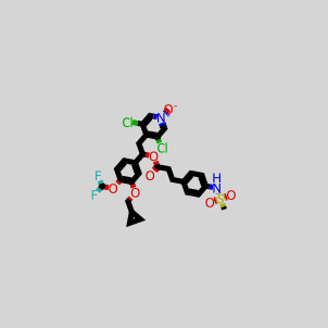 CS(=O)(=O)Nc1ccc(CCC(=O)OC(Cc2c(Cl)c[n+]([O-])cc2Cl)c2ccc(OC(F)F)c(OCC3CC3)c2)cc1